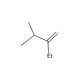 [CH]=C(CC)C(C)C